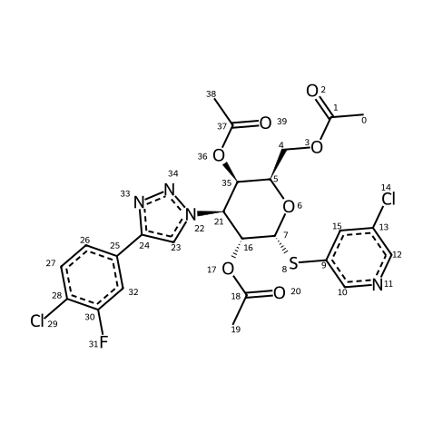 CC(=O)OC[C@H]1O[C@H](Sc2cncc(Cl)c2)[C@H](OC(C)=O)[C@@H](n2cc(-c3ccc(Cl)c(F)c3)nn2)[C@H]1OC(C)=O